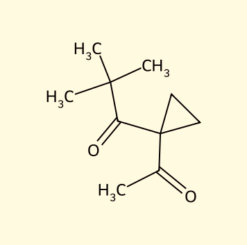 CC(=O)C1(C(=O)C(C)(C)C)CC1